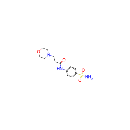 NS(=O)(=O)c1ccc(NC(=O)CCN2CCOCC2)cc1